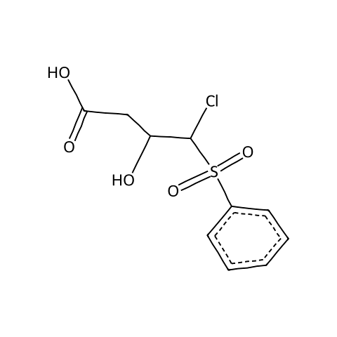 O=C(O)CC(O)C(Cl)S(=O)(=O)c1ccccc1